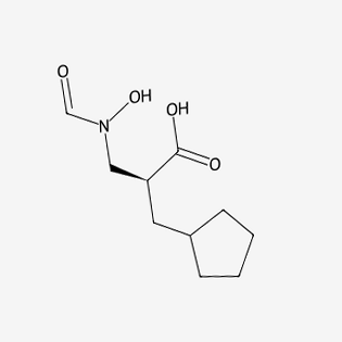 O=CN(O)C[C@H](CC1CCCC1)C(=O)O